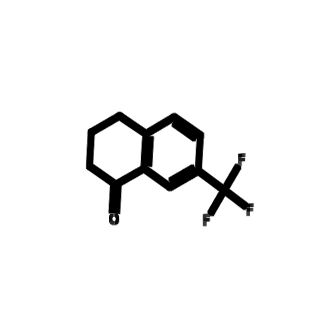 O=C1CCCc2ccc(C(F)(F)F)cc21